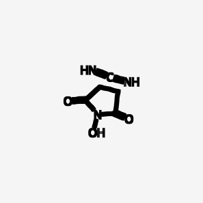 N=C=N.O=C1CCC(=O)N1O